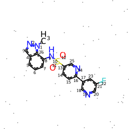 Cn1ncc2cccc(NS(=O)(=O)c3ccc(-c4cncc(F)c4)nc3)c21